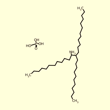 CCCCCCCCCCCCC(CCCCCCCCCCC)C(N)CCCCCCCCCCC.O=P(O)(O)O